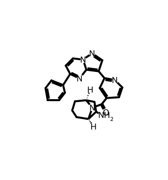 NC1C[C@@H]2CCC[C@H]1N2C(=O)c1ccnc(-c2cnn3ccc(-c4ccccc4)nc23)c1